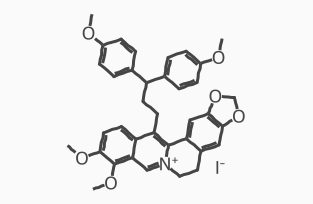 COc1ccc(C(CCc2c3[n+](cc4c(OC)c(OC)ccc24)CCc2cc4c(cc2-3)OCO4)c2ccc(OC)cc2)cc1.[I-]